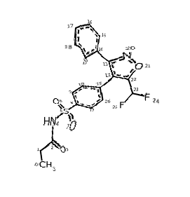 CCC(=O)NS(=O)(=O)c1ccc(-c2c(-c3ccccc3)noc2C(F)F)cc1